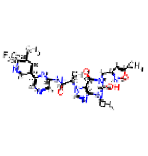 Cc1cc(CN2C(=O)c3c(ncn3[C@@H](C)C(=O)Nc3cncc(-c4cnc(C(F)(F)F)c(C)c4)n3)N(C)C2O)no1